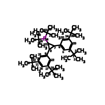 CC(C)(C)c1cc(C2C(c3cc(C(C)(C)C)cc(C(C)(C)C)c3)C2P(C(C)(C)C)C(C)(C)C)cc(C(C)(C)C)c1